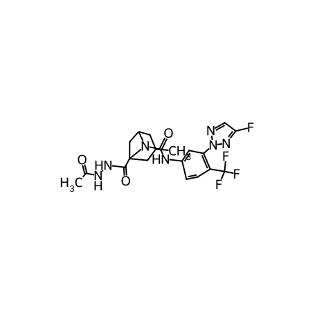 CC(=O)NNC(=O)C12CC(C)CC(C1)N2C(=O)Nc1ccc(C(F)(F)F)c(-n2ncc(F)n2)c1